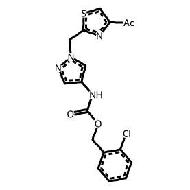 CC(=O)c1csc(Cn2cc(NC(=O)OCc3ccccc3Cl)cn2)n1